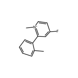 Cc1ccccc1-c1cc(F)cc[n+]1C